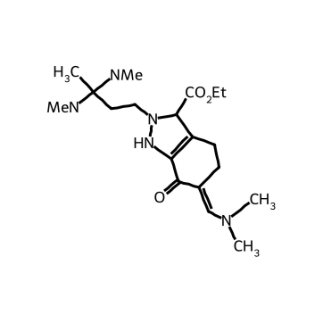 CCOC(=O)C1C2=C(NN1CCC(C)(NC)NC)C(=O)C(=CN(C)C)CC2